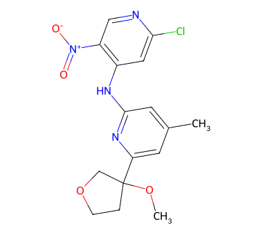 COC1(c2cc(C)cc(Nc3cc(Cl)ncc3[N+](=O)[O-])n2)CCOC1